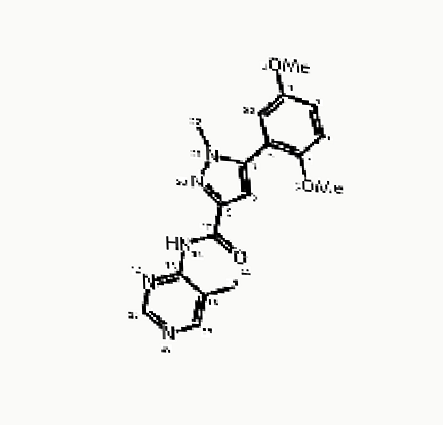 COc1ccc(OC)c(-c2cc(C(=O)Nc3ncncc3C)nn2C)c1